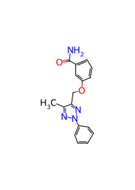 Cc1nn(-c2ccccc2)nc1COc1cccc(C(N)=O)c1